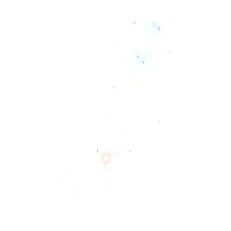 CC(C)COCc1ccc(-n2ccnc2)cc1